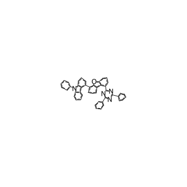 c1ccc(-c2nc(-c3ccccc3)nc(-c3cccc4oc5c(-c6cccc7c6c6ccccc6n7-c6ccccc6)cccc5c34)n2)cc1